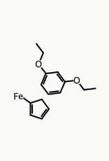 CCOc1cccc(OCC)c1.[Fe][C]1=CC=CC1